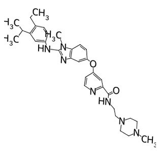 CCc1ccc(Nc2nc3cc(Oc4ccnc(C(=O)NCCN5CCN(C)CC5)c4)ccc3n2C)cc1C(C)C